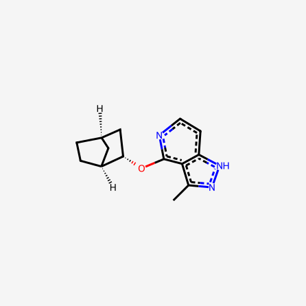 Cc1n[nH]c2ccnc(O[C@H]3C[C@@H]4CC[C@H]3C4)c12